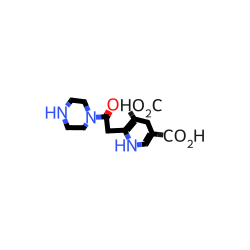 O=C(O)C1=CNC(CC(=O)N2CCNCC2)=C(C(=O)O)C1